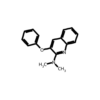 CN(C)c1nc2ccccc2cc1Oc1ccccc1